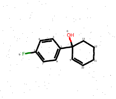 OC1(c2ccc(F)cc2)C=CCCC1